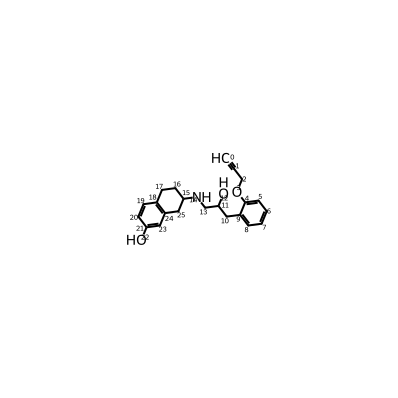 C#CCOc1ccccc1CC(O)CNC1CCc2ccc(O)cc2C1